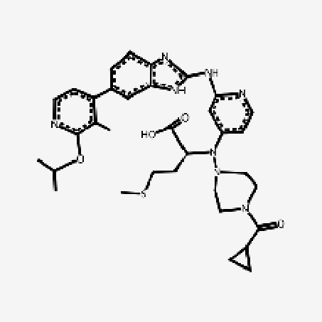 CSCC[C@@H](C(=O)O)N(c1ccnc(Nc2nc3ccc(-c4ccnc(OC(C)C)c4C)cc3[nH]2)c1)N1CCN(C(=O)C2CC2)CC1